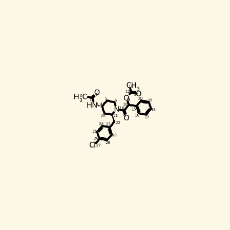 CC(=O)N[C@@H]1CCN(C(=O)C(OC(C)=O)c2ccccc2)[C@@H](Cc2ccc(Cl)cc2)C1